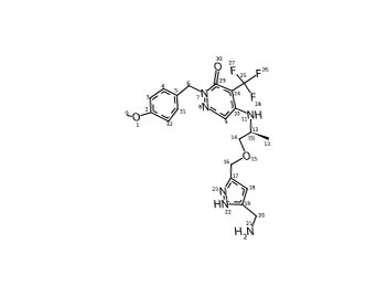 COc1ccc(Cn2ncc(N[C@@H](C)COCc3cc(CN)[nH]n3)c(C(F)(F)F)c2=O)cc1